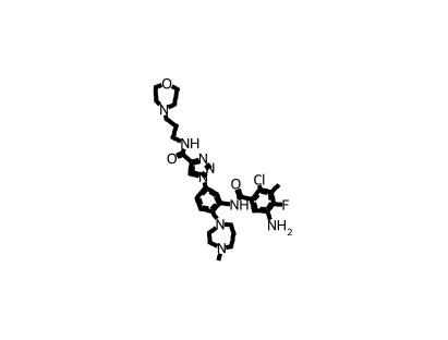 Cc1c(F)c(N)cc(C(=O)Nc2cc(-n3cc(C(=O)NCCCN4CCOCC4)nn3)ccc2N2CCCN(C)CC2)c1Cl